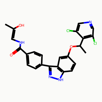 C/C(O)=C/NC(=O)c1ccc(-c2n[nH]c3ccc(OC(C)c4c(Cl)cncc4Cl)cc23)cc1